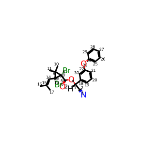 [2H]C(C#N)(OC(=O)[C@]1(Br)C(C)(C)[C@]1(Br)C=C(C)C)c1cccc(Oc2ccccc2)c1